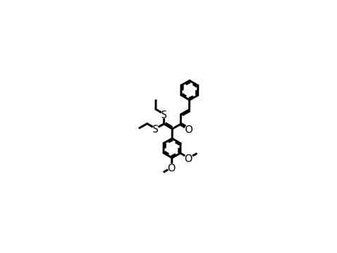 CCSC(SCC)=C(C(=O)/C=C/c1ccccc1)c1ccc(OC)c(OC)c1